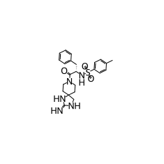 Cc1ccc(S(=O)(=O)N[C@@H](Cc2ccccc2)C(=O)N2CCC3(CC2)CNC(=N)N3)cc1